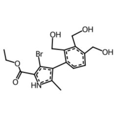 CCOC(=O)c1[nH]c(C)c(-c2ccc(CO)c(CO)c2CO)c1Br